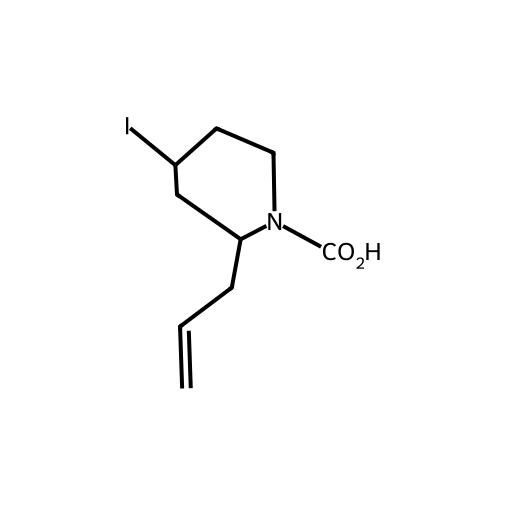 C=CCC1CC(I)CCN1C(=O)O